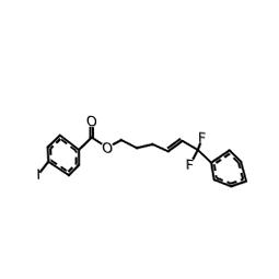 O=C(OCCCC=CC(F)(F)c1ccccc1)c1ccc(I)cc1